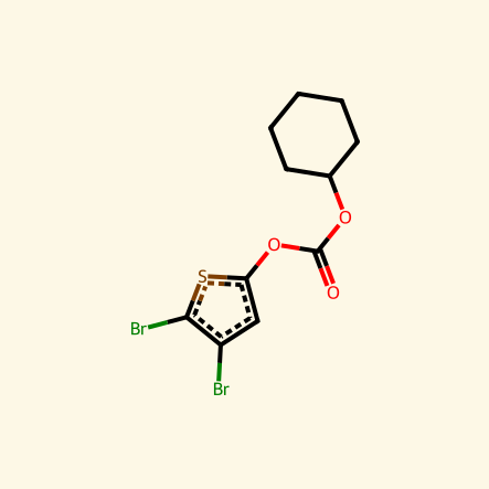 O=C(Oc1cc(Br)c(Br)s1)OC1CCCCC1